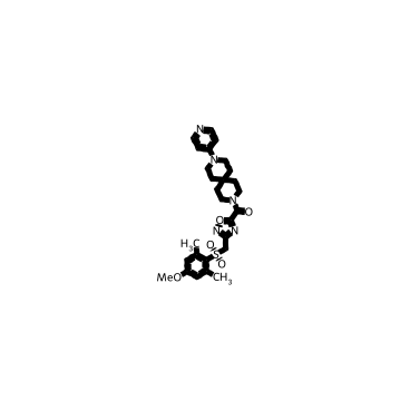 COc1cc(C)c(S(=O)(=O)Cc2noc(C(=O)N3CCC4(CC3)CCN(c3ccncc3)CC4)n2)c(C)c1